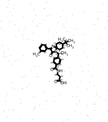 Cc1cccc(C2=NC3(CCC(C(C)(C)C)CC3)N([C@H](C)c3ccc(C(=O)NCCC(=O)O)cc3)C2=O)c1